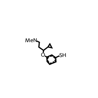 CNCCC(Oc1cccc(S)c1)C1CC1